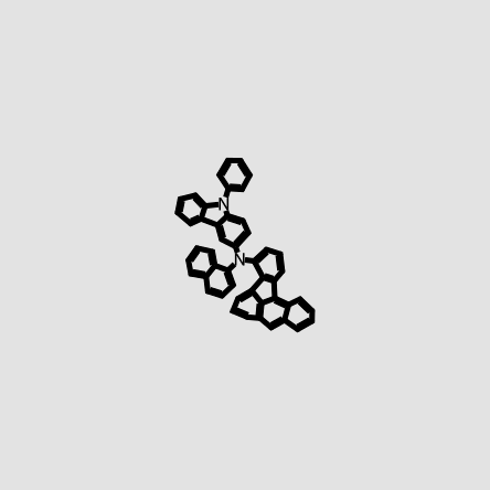 c1ccc(-n2c3ccccc3c3cc(N(c4cccc5c4-c4cccc6cc7ccccc7c-5c46)c4cccc5ccccc45)ccc32)cc1